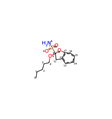 CCCCCOC1(S(N)(=O)=O)Cc2ccccc2O1